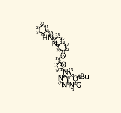 CN(C(=O)OC(C)(C)C)c1ncnc2c1ccn2C1CCC(COc2ccc3ccc(NCc4ccccc4)nc3c2)O1